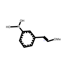 CO/C=C/c1cccc(N(O)O)c1